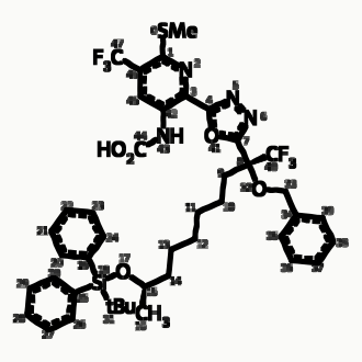 CSc1nc(-c2nnc([C@@](CCCCCC[C@@H](C)O[Si](c3ccccc3)(c3ccccc3)C(C)(C)C)(OCc3ccccc3)C(F)(F)F)o2)c(NC(=O)O)cc1C(F)(F)F